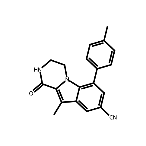 Cc1ccc(-c2cc(C#N)cc3c(C)c4n(c23)CCNC4=O)cc1